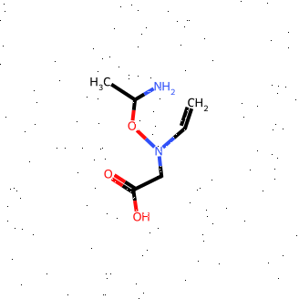 C=CN(CC(=O)O)OC(C)N